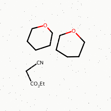 C1CCOCC1.C1CCOCC1.CCOC(=O)CC#N